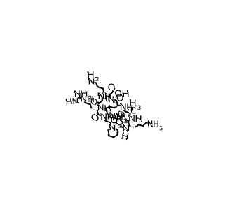 C[C@H](NC(=O)[C@H](CCCCN)NC(=O)[C@@H]1CCCCN1C(=O)CNC(=O)[C@H](CCCNC(=N)N)NC(=O)CN)C(=O)N[C@@H](CCCCN)C(=O)N[C@@H](CCCCN)C(=O)O